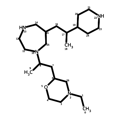 CCN1CCOC(CC(C)N2CCNCC(CC(C)C3CCNCC3)C2)C1